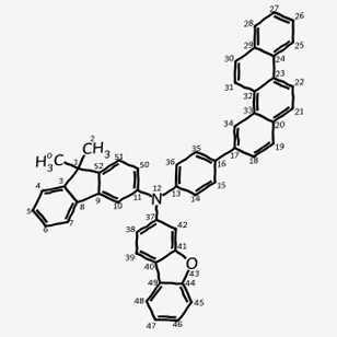 CC1(C)c2ccccc2-c2cc(N(c3ccc(-c4ccc5ccc6c7ccccc7ccc6c5c4)cc3)c3ccc4c(c3)oc3ccccc34)ccc21